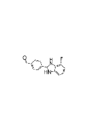 O=Cc1ccc(C2Nc3cccc(F)c3N2)cc1